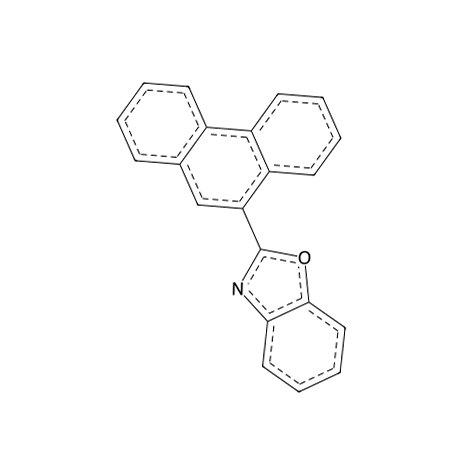 c1ccc2c(c1)cc(-c1nc3ccccc3o1)c1ccccc12